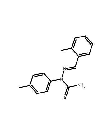 Cc1ccc(N(N=Cc2ccccc2C)C(N)=S)cc1